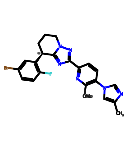 COc1nc(-c2nc3n(n2)CCC[C@@H]3c2cc(Br)ccc2F)ccc1-n1cnc(C)c1